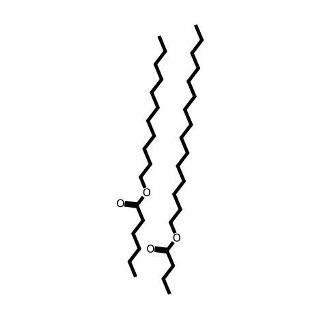 CCCCCCCCCCCCCCCOC(=O)CCC.CCCCCCCCCCCOC(=O)CCCCC